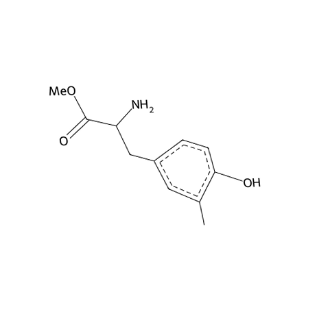 COC(=O)C(N)Cc1ccc(O)c(C)c1